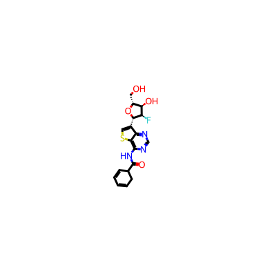 O=C(Nc1ncnc2c([C@@H]3O[C@H](CO)[C@@H](O)[C@H]3F)csc12)C1C=CC=CC1